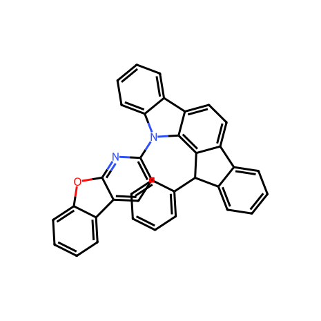 c1ccc(C2c3ccccc3-c3ccc4c5ccccc5n(-c5ccc6c(n5)oc5ccccc56)c4c32)cc1